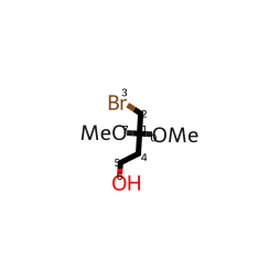 COC(CBr)(CCO)OC